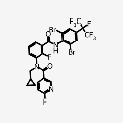 O=C(Nc1c(Br)cc(C(F)(C(F)(F)F)C(F)(F)F)cc1Br)c1cccc(N(CC2CC2)C(=O)c2ccc(F)nc2)c1F